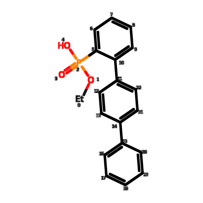 CCOP(=O)(O)c1ccccc1-c1ccc(-c2ccccc2)cc1